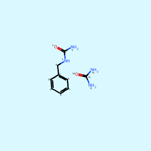 NC(=O)NCc1ccccc1.NC(N)=O